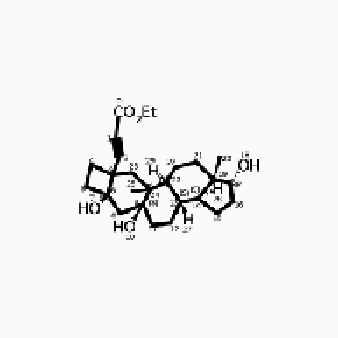 CCOC(=O)C#CC12CC[C@@]1(O)C[C@@]1(O)CC[C@H]3[C@@H]4CC[C@@H](O)[C@@]4(C)CC[C@@H]3[C@@]1(C)C2